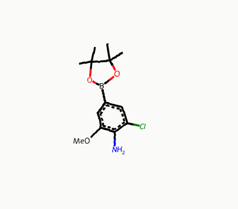 COc1cc(B2OC(C)(C)C(C)(C)O2)cc(Cl)c1N